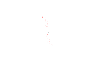 C=CC(=O)OCC(O)COCC(C)COc1ccc(C(C)(C)c2ccc(OCC(C)COCC(O)COC(=O)C=C)cc2)cc1